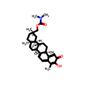 CC1=C(O)C(=O)C=C2C1=CC=C1[C@@]2(C)CC[C@@]2(C)[C@@H]3C[C@](C)(COC(=O)N(C)C)CC[C@]3(C)CC[C@]12C